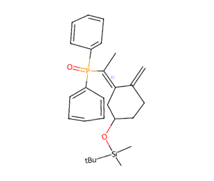 C=C1CCC(O[Si](C)(C)C(C)(C)C)C/C1=C(/C)P(=O)(c1ccccc1)c1ccccc1